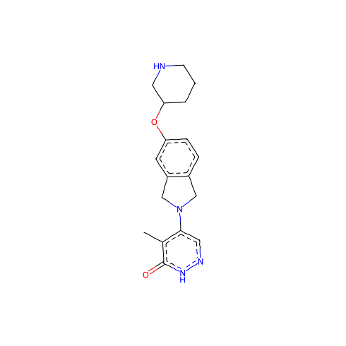 Cc1c(N2Cc3ccc(OC4CCCNC4)cc3C2)cn[nH]c1=O